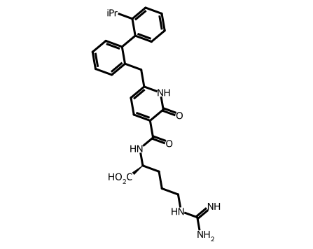 CC(C)c1ccccc1-c1ccccc1Cc1ccc(C(=O)N[C@@H](CCCNC(=N)N)C(=O)O)c(=O)[nH]1